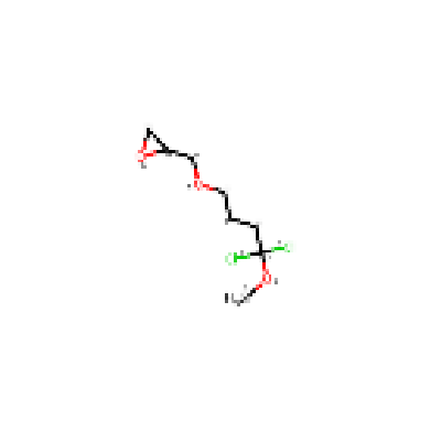 [SiH3]OC(Cl)(Cl)CCCOCC1CO1